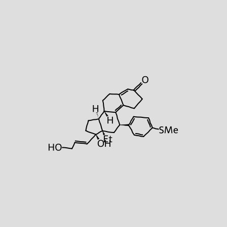 CC[C@]12C[C@H](c3ccc(SC)cc3)C3=C4CCC(=O)C=C4CC[C@H]3[C@@H]1CC[C@@]2(O)C=CCO